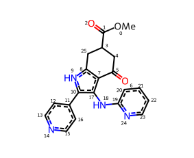 COC(=O)C1CC(=O)c2c([nH]c(-c3ccncc3)c2Nc2ccccn2)C1